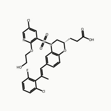 C/C(=C\c1ccc2c(c1)N(S(=O)(=O)c1cc(Cl)cnc1OCCO)C[C@H](CCC(=O)O)O2)c1c(F)cccc1Cl